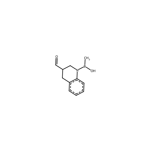 CB(O)N1CC(C=O)Cc2ccccc21